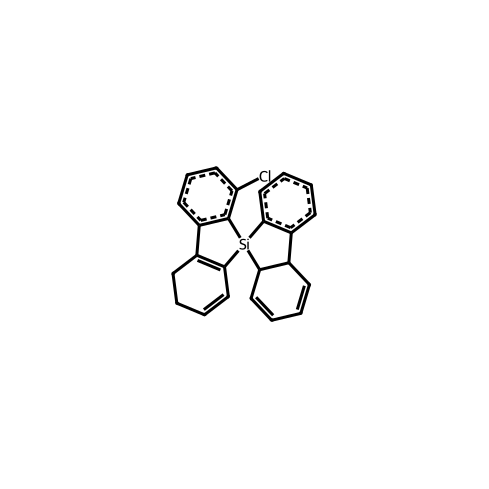 Clc1cccc2c1[Si]1(C3=C2CCC=C3)c2ccccc2C2C=CC=CC21